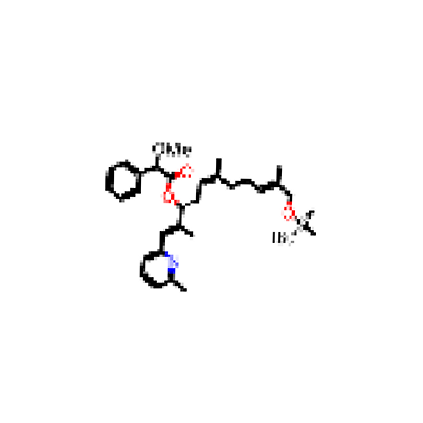 CO[C@@H](C(=O)O[C@@H](C/C=C(/C)CC/C=C(\C)CO[Si](C)(C)C(C)(C)C)/C(C)=C/c1cccc(C)n1)c1ccccc1